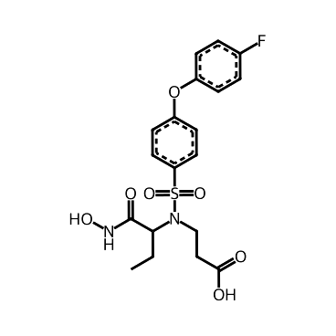 CCC(C(=O)NO)N(CCC(=O)O)S(=O)(=O)c1ccc(Oc2ccc(F)cc2)cc1